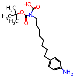 CC(C)(C)OC(=O)N(CCCCCCCCc1ccc(N)cc1)C(=O)O